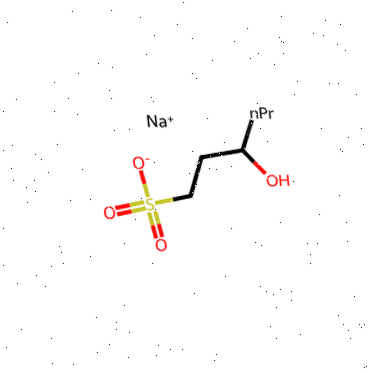 CCCC(O)CCS(=O)(=O)[O-].[Na+]